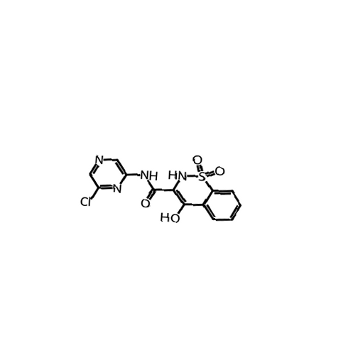 O=C(Nc1cncc(Cl)n1)C1=C(O)c2ccccc2S(=O)(=O)N1